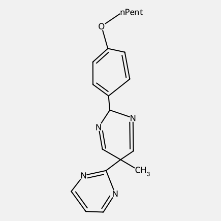 CCCCCOc1ccc(C2N=CC(C)(c3ncccn3)C=N2)cc1